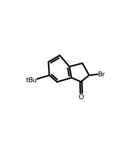 CC(C)(C)c1ccc2c(c1)C(=O)C(Br)C2